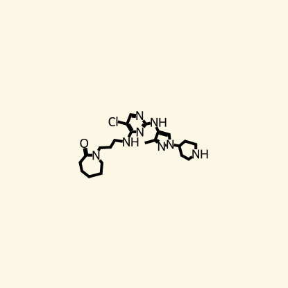 Cc1nn(C2CCNCC2)cc1Nc1ncc(Cl)c(NCCCN2CCCCCC2=O)n1